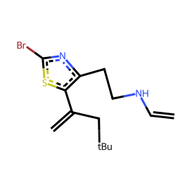 C=CNCCc1nc(Br)sc1C(=C)CC(C)(C)C